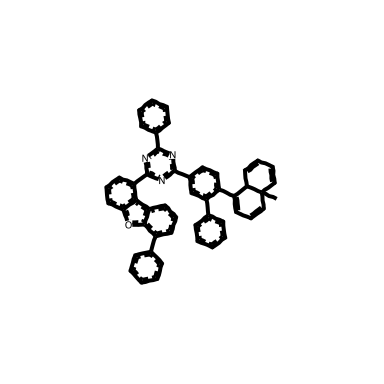 CC12C=CC=CC1C(c1ccc(-c3nc(-c4ccccc4)nc(-c4cccc5oc6c(-c7ccccc7)cccc6c45)n3)cc1-c1ccccc1)=CC=C2